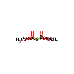 C=COCCOCC(O)CSSSCC(O)COCCOC=C